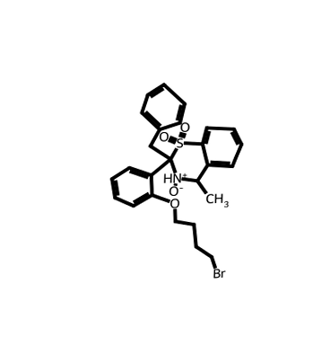 CC1c2ccccc2S(=O)(=O)C(Cc2ccccc2)(c2ccccc2OCCCCBr)[NH+]1[O-]